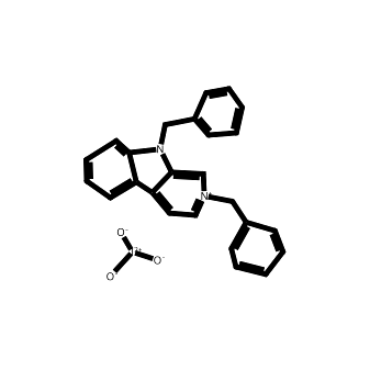 [O-][I+2]([O-])[O-].c1ccc(Cn2c3ccccc3c3cc[n+](Cc4ccccc4)cc32)cc1